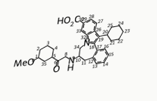 COC1CCCC(C(=O)CNC2Cc3ccccc3-c3c(C4CCCCC4)c4ccc(C(=O)O)cc4n3C2)C1